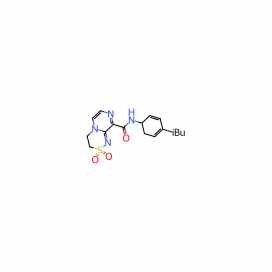 CCC(C)C1=CCC(NC(=O)C2=NC=CN3CCS(=O)(=O)N=C23)C=C1